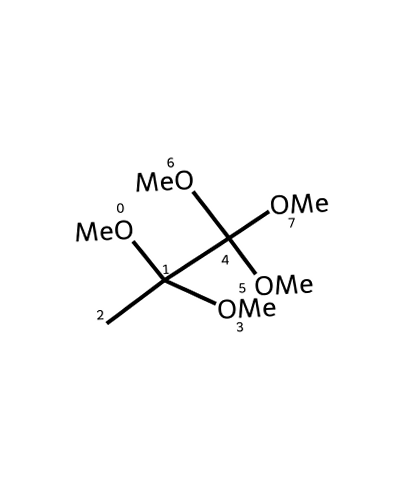 COC(C)(OC)C(OC)(OC)OC